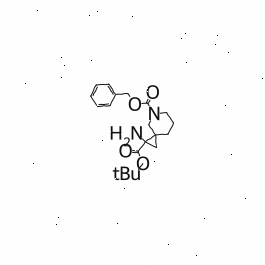 CC(C)(C)OC(=O)C1(N)CC12CCCN(C(=O)OCc1ccccc1)C2